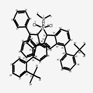 C[SiH](C)[Zr]([Cl])([Cl])([CH]1C(c2ccccc2)=Cc2c(-c3ccccc3C(C)(C)C)cccc21)[CH]1C(c2ccccc2)=Cc2c(-c3ccccc3C(C)(C)C)cccc21